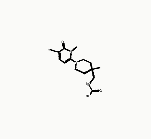 Cn1c(N2CCC(C)(CNC(=O)O)CC2)ccc(I)c1=O